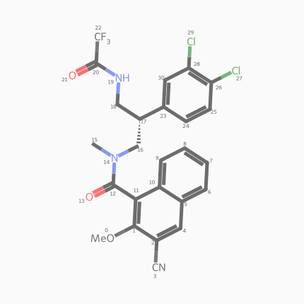 COc1c(C#N)cc2ccccc2c1C(=O)N(C)C[C@H](CNC(=O)C(F)(F)F)c1ccc(Cl)c(Cl)c1